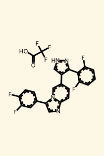 Fc1ccc(-c2cnc3ccc(-c4c[nH]nc4-c4c(F)cccc4F)cn23)cc1F.O=C(O)C(F)(F)F